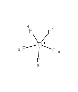 [F][Ti]([F])([F])([F])[F]